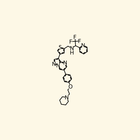 FC(F)(F)C(NCc1cc(-c2cnn3cc(-c4ccc(OCCN5CCCCC5)cc4)cnc23)cs1)c1ccccn1